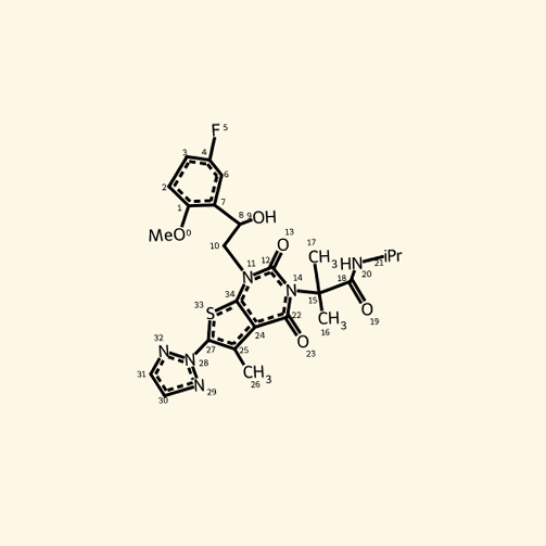 COc1ccc(F)cc1C(O)Cn1c(=O)n(C(C)(C)C(=O)NC(C)C)c(=O)c2c(C)c(-n3nccn3)sc21